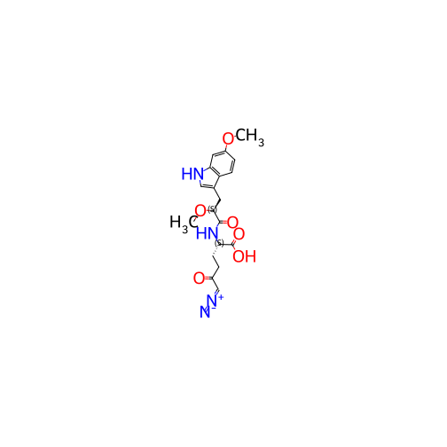 COc1ccc2c(C[C@H](OC)C(=O)N[C@@H](CCC(=O)C=[N+]=[N-])C(=O)O)c[nH]c2c1